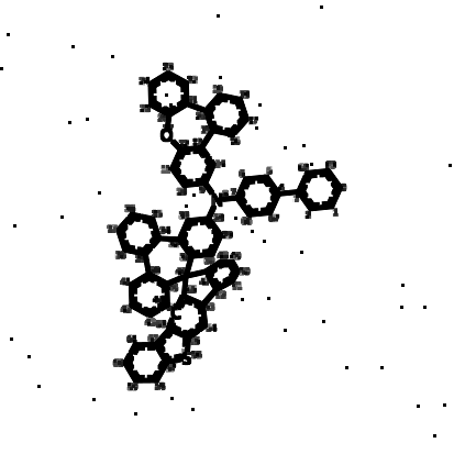 c1ccc(-c2ccc(N(c3ccc4c(c3)-c3ccccc3-c3ccccc3O4)c3ccc4c(c3)-c3ccccc3-c3ccccc3C43c4ccccc4-c4cc5sc6ccccc6c5cc43)cc2)cc1